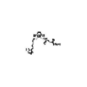 CCCCCC(=O)CCC(=O)NC[C@@H]1[C@H](C/C=C\CCCc2nnn[nH]2)[C@@H]2CC[C@H]1O2